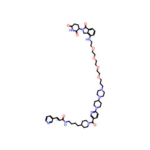 O=C(/C=C/c1cccnc1)NCCCCC1CCN(C(=O)c2ccc(N3CCC(N4CCN(CCCOCCOCCOCCOCCNc5cccc6c5CN(C5CCC(=O)NC5=O)C6=O)CC4)CC3)nc2)CC1